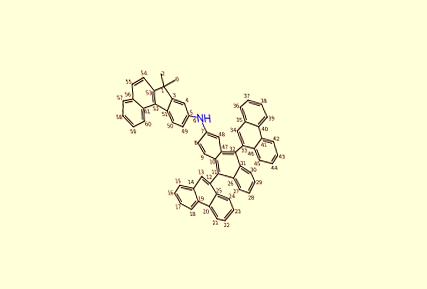 CC1(C)c2cc(Nc3ccc4c(-c5cc6ccccc6c6ccccc56)c5ccccc5c(-c5cc6ccccc6c6ccccc56)c4c3)ccc2-c2c1ccc1ccccc21